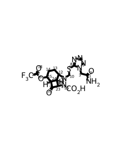 NC(=O)Cn1nnnc1SCN1C2CCC(OC(=O)C(F)(F)F)[C@H]3C(=O)C([C@@H]23)N1C(=O)O